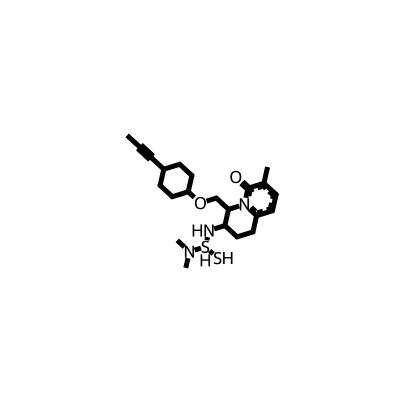 CC#CC1CCC(OCC2C(N[SH](S)N(C)C)CCc3ccc(C)c(=O)n32)CC1